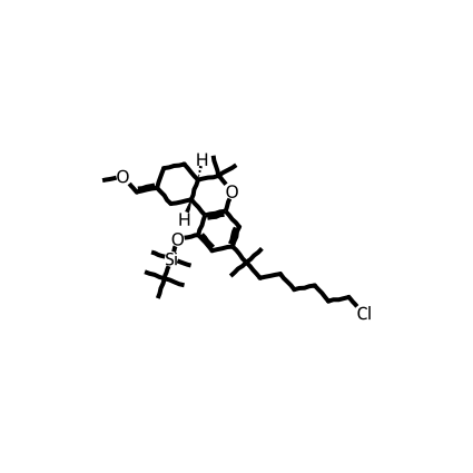 COC=C1CC[C@@H]2[C@@H](C1)c1c(cc(C(C)(C)CCCCCCCl)cc1O[Si](C)(C)C(C)(C)C)OC2(C)C